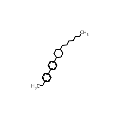 CCCCCCCC1CCC(c2ccc(-c3ccc(CC)cc3)cc2)CC1